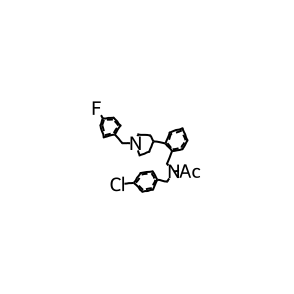 CC(=O)N(Cc1ccc(Cl)cc1)Cc1ccccc1C1CCN(Cc2ccc(F)cc2)CC1